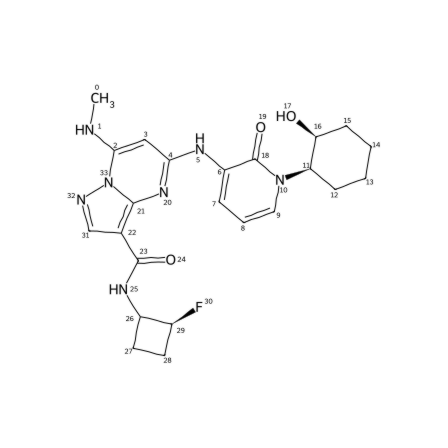 CNc1cc(Nc2cccn([C@@H]3CCCC[C@@H]3O)c2=O)nc2c(C(=O)NC3CC[C@@H]3F)cnn12